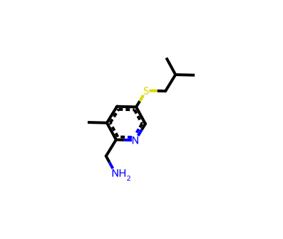 Cc1cc(SCC(C)C)cnc1CN